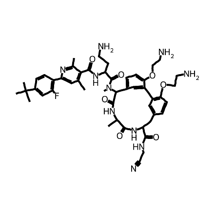 Cc1cc(-c2ccc(C(C)(C)C)cc2F)nc(C)c1C(=O)NC(CCN)C(=O)N(C)C1C(=O)NC(C)C(=O)NC(C(=O)NCC#N)Cc2ccc(OCCN)c(c2)-c2cc1ccc2OCCN